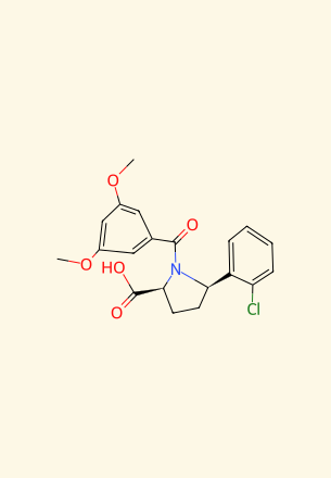 COc1cc(OC)cc(C(=O)N2[C@@H](c3ccccc3Cl)CC[C@H]2C(=O)O)c1